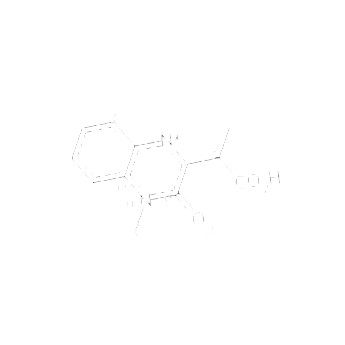 CC(C(=O)O)c1nc2ccccc2n(C)c1=O